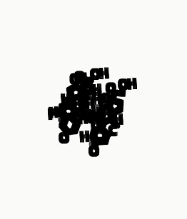 C[C@@H]1C[C@H]2[C@@H]3C[C@H](F)C4=CC(=O)C=C[C@]4(C)[C@H]3[C@@H](O)C[C@]2(C)[C@@]1(O)C(=O)CO.C[C@]12C=CC(=O)C=C1CC[C@@H]1[C@@H]2[C@@H](O)C[C@@]2(C)[C@H]1CC[C@]2(O)C(=O)CO